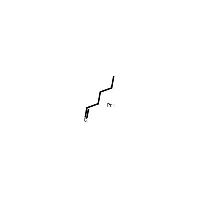 CCCCC=O.[Pr]